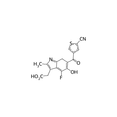 CC1=C(CC(=O)O)C2=C(F)C(O)=C(C(=O)c3csc(C#N)c3)CC2=N1